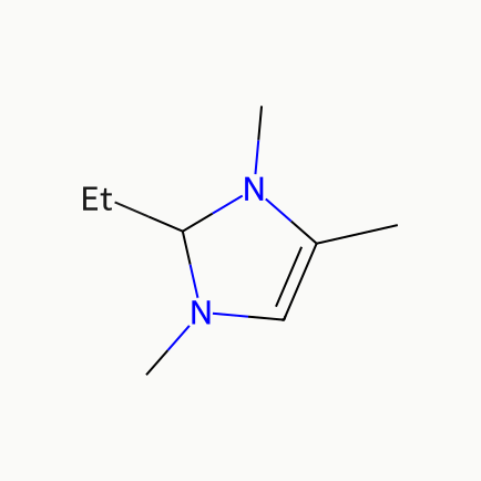 CCC1N(C)C=C(C)N1C